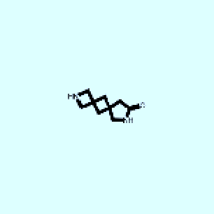 O=C1CC2(CN1)CC1(CNC1)C2